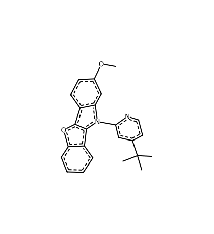 COc1ccc2c3oc4ccccc4c3n(-c3cc(C(C)(C)C)ccn3)c2c1